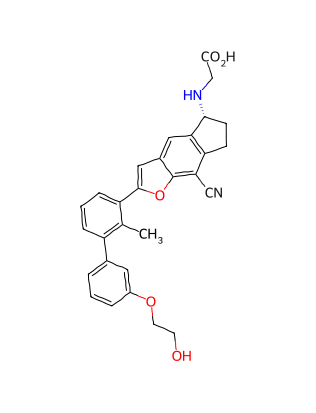 Cc1c(-c2cccc(OCCO)c2)cccc1-c1cc2cc3c(c(C#N)c2o1)CC[C@H]3NCC(=O)O